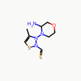 CC1=CSN(C=S)N1N1CCOCC1N